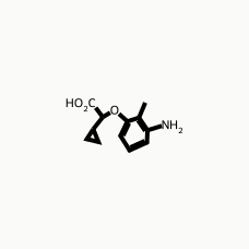 Cc1c(N)cccc1OC(C(=O)O)C1CC1